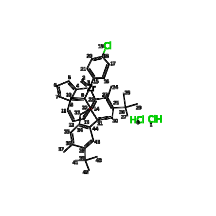 Cl.Cl.[CH2]=[Zr]([C]1=CC=CC1)([c]1ccccc1)([c]1ccc(Cl)cc1)[c]1c(C)c(C(C)(C)C)cc2c1Cc1cc(C)c(C(C)(C)C)cc1-2